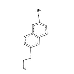 CC(=O)CCc1ccc2cc(C(C)C)ccc2c1